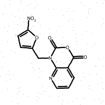 O=c1oc(=O)n(Cc2ccc([N+](=O)[O-])o2)c2ncccc12